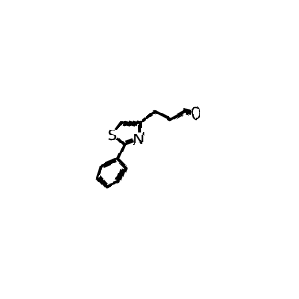 O=CCCc1csc(-c2ccccc2)n1